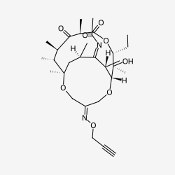 C#CCO/N=C1\CO[C@@H]2[C@@H](C)/C(=N/C(C)=O)[C@H](C)C[C@@](C)(OC1)[C@H](C)[C@@H](C)C(=O)[C@@H](C)C(=O)O[C@H](CC)[C@@]2(C)O